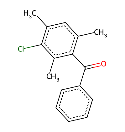 Cc1cc(C)c(C(=O)c2ccccc2)c(C)c1Cl